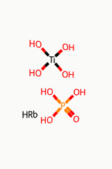 O=P(O)(O)O.[OH][Ti]([OH])([OH])[OH].[RbH]